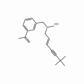 C=C(C)c1cccc(CN(C)C/C=C/C#CC(C)(C)C)c1.Cl